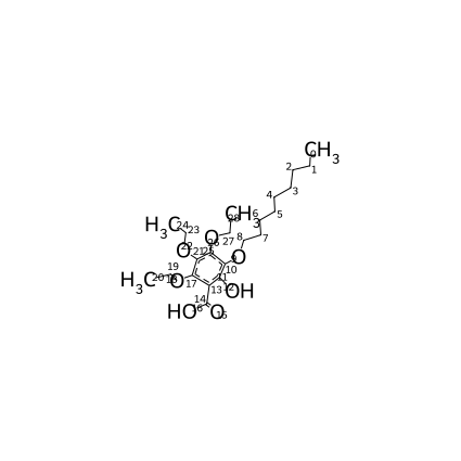 CCCCCCCCCOc1c(O)c(C(=O)O)c(OCC)c(OCC)c1OCC